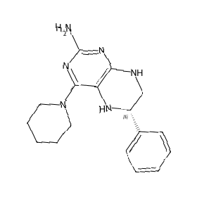 Nc1nc2c(c(N3CCCCC3)n1)N[C@@H](c1ccccc1)CN2